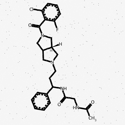 CC(=O)NCC(=O)NC(CCN1CC2CN(C(=O)c3c(F)cccc3Cl)C[C@@H]2C1)c1ccccc1